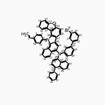 C=Cc1ccc(-n2c3c4ccccc4c(N(c4cccc(-c5cccc(Br)c5)c4)c4ccc(-c5ccccc5)c5ccccc45)cc3c3ccc4oc5ccccc5c4c32)cc1